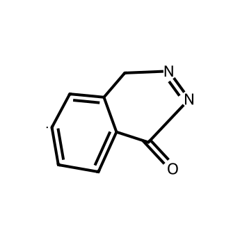 O=C1N=NCc2c[c]ccc21